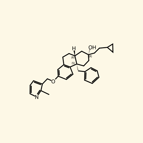 Cc1ncccc1COc1ccc2c(c1)CC[C@@H]1C[C@@](O)(CCC3CC3)CC[C@@]21Cc1ccccc1